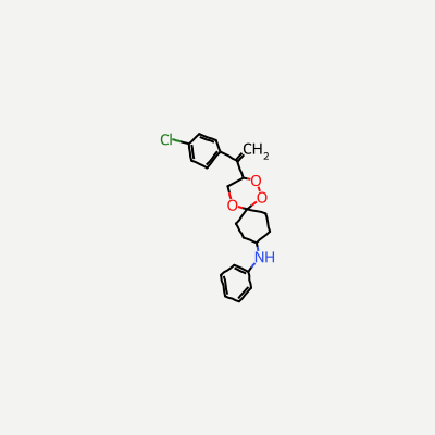 C=C(c1ccc(Cl)cc1)C1COC2(CCC(Nc3ccccc3)CC2)OO1